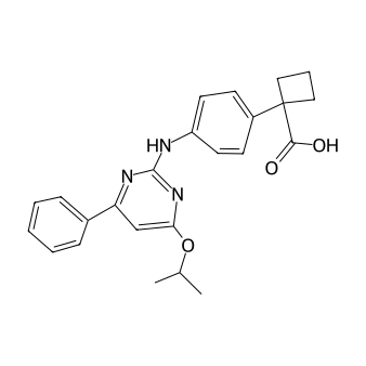 CC(C)Oc1cc(-c2ccccc2)nc(Nc2ccc(C3(C(=O)O)CCC3)cc2)n1